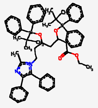 CCOC(=O)CC(CC(CCn1c(C)nc(-c2ccccc2)c1-c1ccccc1)O[Si](c1ccccc1)(c1ccccc1)C(C)(C)C)O[Si](c1ccccc1)(c1ccccc1)C(C)(C)C